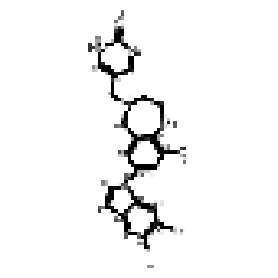 O=c1ncc(CN2CCOc3c(Cl)cc(-n4ccc5cc(F)c(F)cc54)cc3C2)c[nH]1